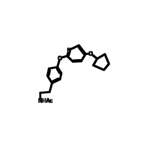 CC(=O)NCCc1ccc(Oc2ccc(OC3CCCC3)cn2)cc1